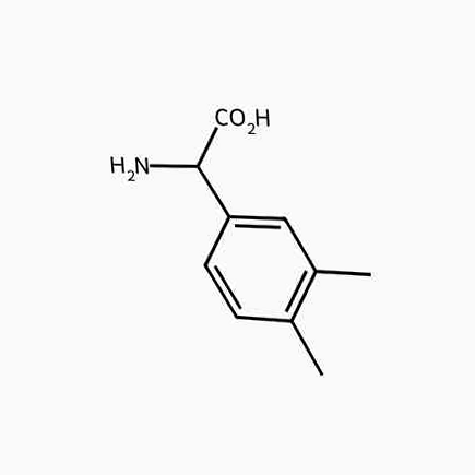 Cc1ccc(C(N)C(=O)O)cc1C